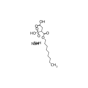 CCCCCCCCCOC(=O)C(CC(=O)O)S(=O)(=O)O.[NaH].[NaH]